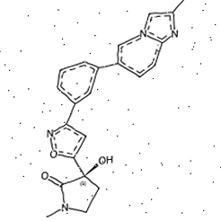 Cc1cn2cc(-c3cccc(-c4cc([C@]5(O)CCN(C)C5=O)on4)c3)ccc2n1